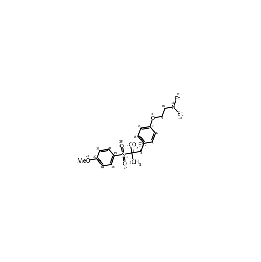 CCOC(=O)C(C)(Cc1ccc(OCCN(CC)CC)cc1)S(=O)(=O)c1ccc(OC)cc1